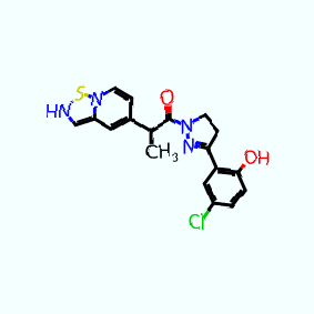 CC(C(=O)N1CCC(c2cc(Cl)ccc2O)=N1)C1=CC2=CNSN2C=C1